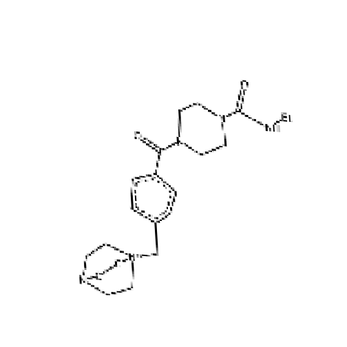 CCNC(=O)N1CCN(C(=O)c2ccc(C[N+]34CCN(CC3)CC4)cc2)CC1